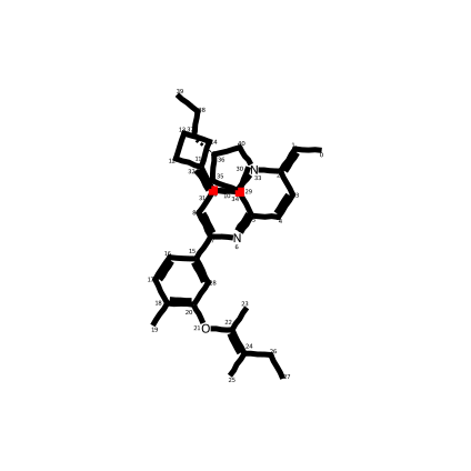 C\C=C(/C=C\C(=N\C(=C/C(C)=C1CCC1)c1ccc(C)c(O/C(C)=C(\C)CC)c1)C(C)CC)N1CC[C@H](CCC)C1